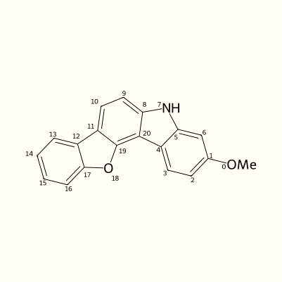 COc1ccc2c(c1)[nH]c1ccc3c4ccccc4oc3c12